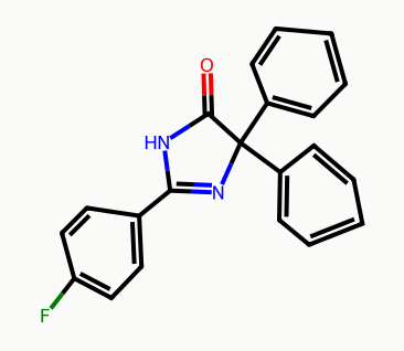 O=C1NC(c2ccc(F)cc2)=NC1(c1ccccc1)c1ccccc1